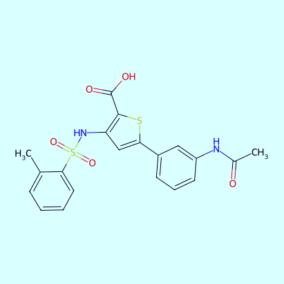 CC(=O)Nc1cccc(-c2cc(NS(=O)(=O)c3ccccc3C)c(C(=O)O)s2)c1